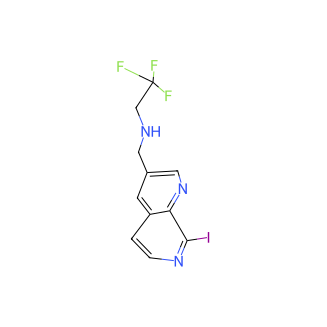 FC(F)(F)CNCc1cnc2c(I)nccc2c1